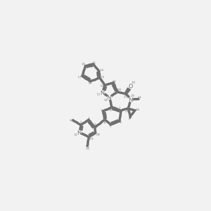 Cc1cc(-c2ccc3c(c2)-n2nc(-c4ccccc4)cc2C(=O)N(C)C32CC2)cc(C)n1